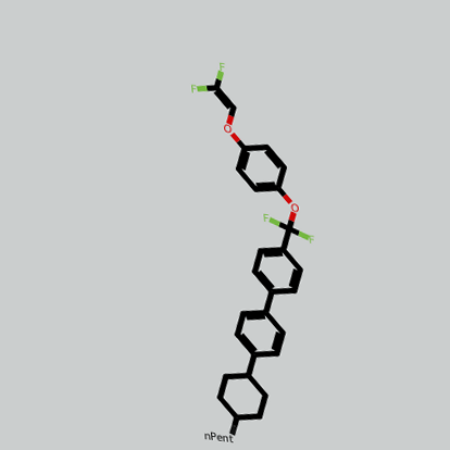 CCCCCC1CCC(c2ccc(-c3ccc(C(F)(F)Oc4ccc(OC=C(F)F)cc4)cc3)cc2)CC1